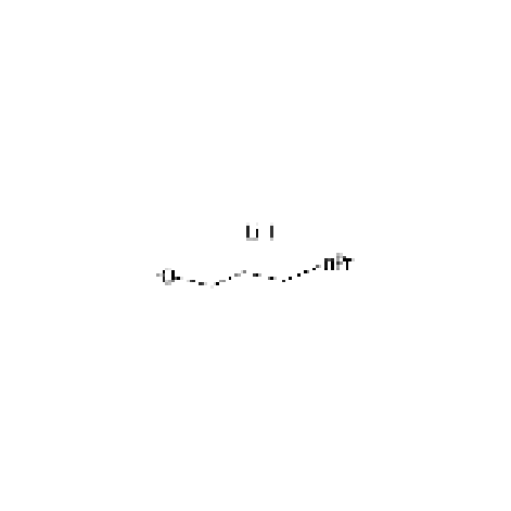 CCCCCC[O].[LiH]